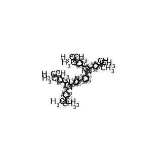 CC(C)(C)c1ccc(-c2cc(-c3ccc(C(C)(C)C)cc3)nc(-c3ccc(-c4cccc(-c5nc(-c6ccc(C(C)(C)C)cc6)cc(-c6ccc(C(C)(C)C)cc6)n5)c4)nc3)n2)cc1